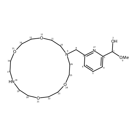 COC(O)c1cccc(CN2CCOCCOCCNCCOCCOCC2)n1